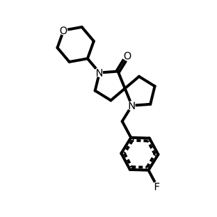 O=C1N(C2CCOCC2)CCC12CCCN2Cc1ccc(F)cc1